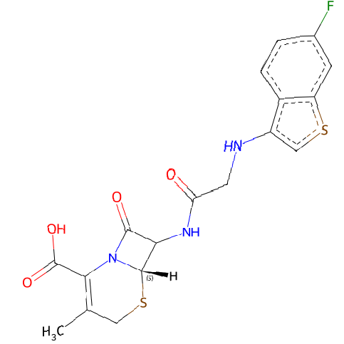 CC1=C(C(=O)O)N2C(=O)C(NC(=O)CNc3csc4cc(F)ccc34)[C@@H]2SC1